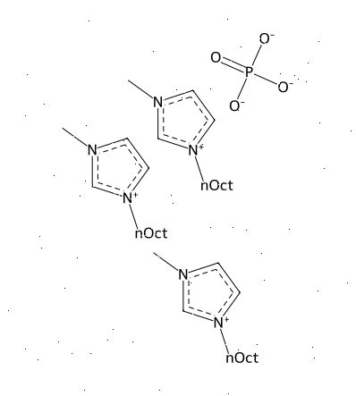 CCCCCCCC[n+]1ccn(C)c1.CCCCCCCC[n+]1ccn(C)c1.CCCCCCCC[n+]1ccn(C)c1.O=P([O-])([O-])[O-]